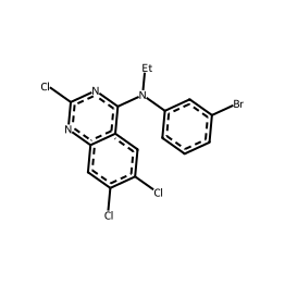 CCN(c1cccc(Br)c1)c1nc(Cl)nc2cc(Cl)c(Cl)cc12